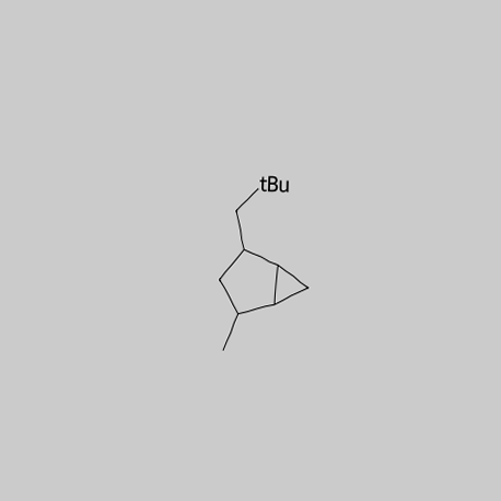 CC1CC(CC(C)(C)C)C2CC12